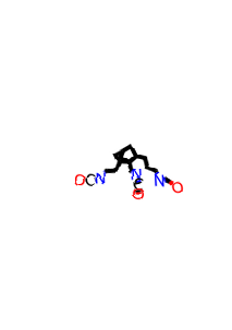 O=C=NCCCC1CC2CC(CCN=C=O)C1(CN=C=O)C2